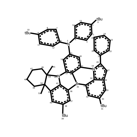 CC(C)(C)c1ccc(N(c2ccc(C(C)(C)C)cc2)c2cc3c4c(c2)-n2c(-c5ccccc5)cc5cc(C(C)(C)C)cc(c52)B4c2cc(C(C)(C)C)cc4c2N3C2(C)CCCCC42C)cc1